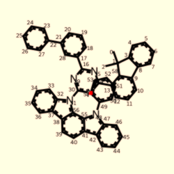 CC1(C)c2ccccc2-c2cccc(-c3nc(-c4cccc(-c5ccccc5)c4)nc(-n4c5ccccc5c5ccc6c7ccccc7n(-c7ccccc7)c6c54)n3)c21